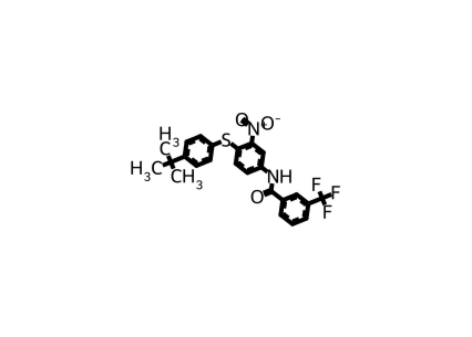 CC(C)(C)c1ccc(Sc2ccc(NC(=O)c3cccc(C(F)(F)F)c3)cc2[N+](=O)[O-])cc1